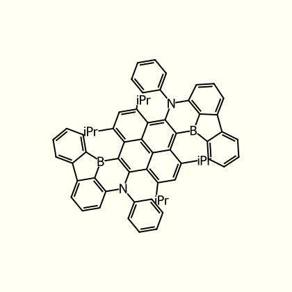 CC(C)c1cc(C(C)C)c2c3c(c4c(C(C)C)cc(C(C)C)c5c6c(c1c2c45)B1c2ccccc2-c2cccc(c21)N6c1ccccc1)B1c2ccccc2-c2cccc(c21)N3c1ccccc1